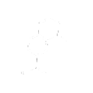 CC(C)(C)C(=O)c1ccc2c(c1)B(O)OC=C2